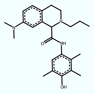 CCCN1CCc2ccc(N(C)C)cc2C1C(=O)Nc1cc(C)c(O)c(C)c1C